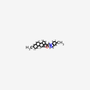 Cc1ccc2c(cnn2CC(=O)C2CCC3C4CCC5CC(C)CCC5C4CCC23C)c1